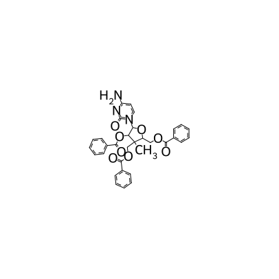 CC1(COC(=O)c2ccccc2)C(COC(=O)c2ccccc2)OC(n2ccc(N)nc2=O)C1OC(=O)c1ccccc1